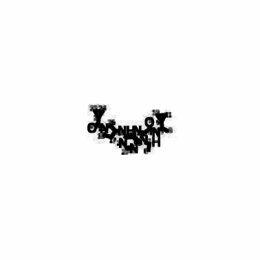 CCn1c(C(=O)NC(C)C2CC2)nc2c(NC3CCN(C(=O)C4CC4)C3)ncnc21